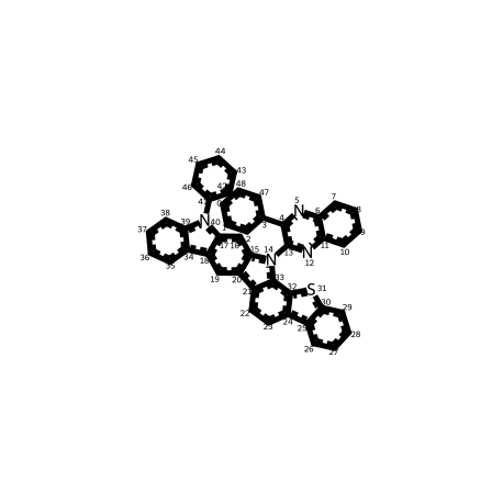 c1ccc(-c2nc3ccccc3nc2-n2c3cc4c(cc3c3ccc5c6ccccc6sc5c32)c2ccccc2n4-c2ccccc2)cc1